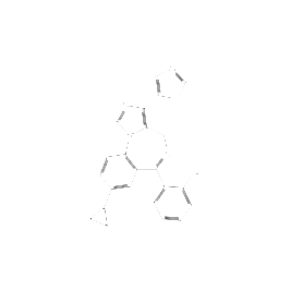 Brc1ccccc1C1=NCc2c(-c3cnco3)ncn2-c2ccc(C3CC3)cc21